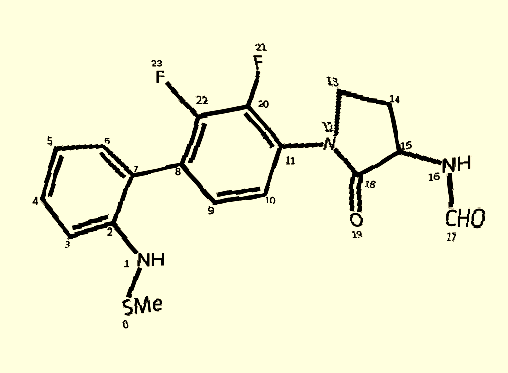 CSNc1ccccc1-c1ccc(N2CCC(NC=O)C2=O)c(F)c1F